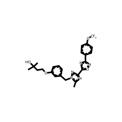 Cc1nc(-c2nc(-c3ccc(OC(F)(F)F)cc3)no2)nn1Cc1cccc(OCCC(C)(C)O)c1